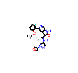 COc1cccc(F)c1-c1cc2c(cn1)NC(=O)/C2=C(/C)Nc1cnn(C2COC2)c1